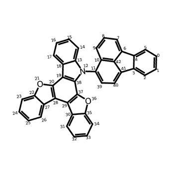 c1ccc2c(c1)-c1cccc3c(-n4c5ccccc5c5c6oc7ccccc7c6c6c7ccccc7oc6c54)ccc-2c13